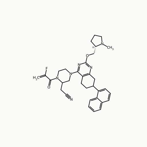 C=C(F)C(=O)N1CCN(c2nc(OC[C@@H]3CCCN3C)nc3c2CCC(c2cccc4ccccc24)C3)CC1CC#N